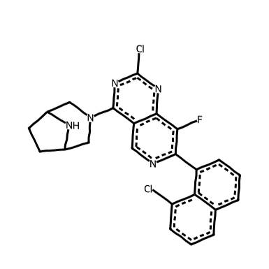 Fc1c(-c2cccc3cccc(Cl)c23)ncc2c(N3CC4CCC(C3)N4)nc(Cl)nc12